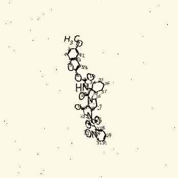 COc1ccc2oc(OC(=O)NC3(C(=O)N4CCC5C4C(=O)CN5S(=O)(=O)c4cccc[n+]4[O-])CCCCC3)cc2c1